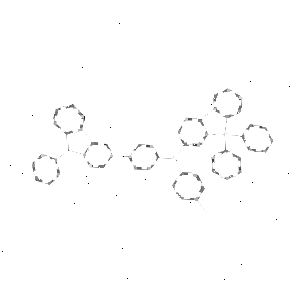 Cc1ccc(N(c2ccc(-c3ccc4c(c3)-c3ccccc3C4c3ccccc3)cc2)c2ccc3c(c2)C(c2ccccc2)(c2ccccc2)c2ccccc2-3)cc1